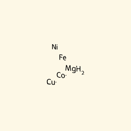 [Co].[Cu].[Fe].[MgH2].[Ni]